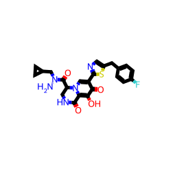 NN(CC1CC1)C(=O)C1CNC(=O)c2c(O)c(=O)c(-c3ncc(Cc4ccc(F)cc4)s3)cn21